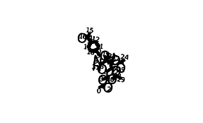 CC(=O)OC[C@H]1O[C@@H]2N=C(c3ccc(C(C)=O)cc3)O[C@@H]2[C@@H](OC(C)=O)[C@@H]1OC(C)=O